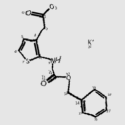 O=C([O-])Cc1ccsc1NC(=O)OCc1ccccc1.[K+]